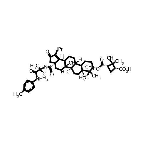 Cc1ccc(NC(=O)C(C)(C)NC(=O)[C@@]23CC[C@]4(C)[C@H](CC[C@@H]5[C@@]6(C)CC[C@H](OC(=O)[C@H]7C[C@@H](C(=O)O)C7(C)C)C(C)(C)[C@@H]6CC[C@]54C)C2=C(C(C)C)C(=O)C3)cc1